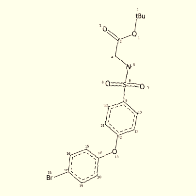 CC(C)(C)OC(=O)C[N]S(=O)(=O)c1ccc(Oc2ccc(Br)cc2)cc1